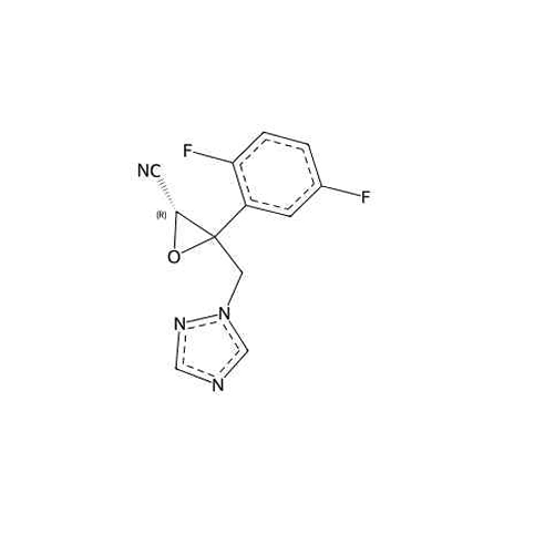 N#C[C@H]1OC1(Cn1cncn1)c1cc(F)ccc1F